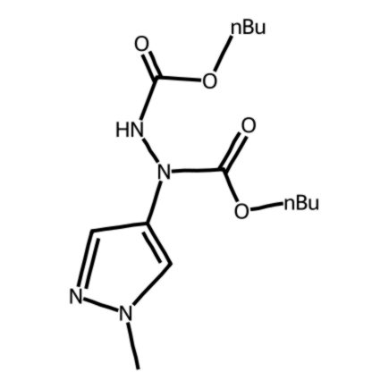 CCCCOC(=O)NN(C(=O)OCCCC)c1cnn(C)c1